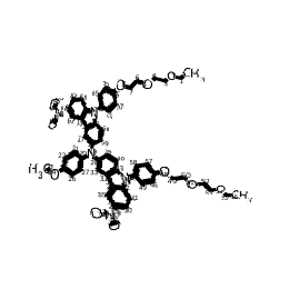 CCOCCOCCOc1ccc(-n2c3c(c4cc(N(c5ccc(OC)cc5)c5ccc6c(c5)c5cc([N+](=O)[O-])ccc5n6-c5ccc(OCCOCCOCC)cc5)ccc42)C=C([N+](=O)[O-])CC3)cc1